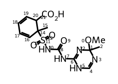 COC1(C)N=CNC(NC(=O)NS(=O)(=O)C2(C)C=CC=CC2C(=O)O)=N1